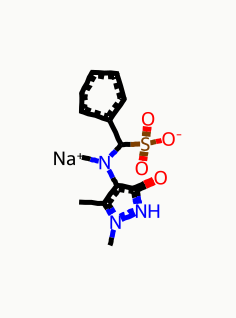 Cc1c(N(C)C(c2ccccc2)S(=O)(=O)[O-])c(=O)[nH]n1C.[Na+]